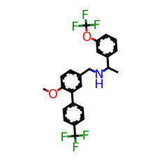 COc1ccc(CNC(C)c2cccc(OC(F)(F)F)c2)cc1-c1ccc(C(F)(F)F)cc1